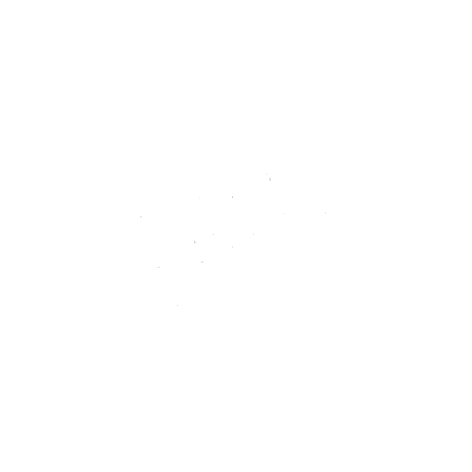 Bc1c(C)ccc(-c2ccc(C(Br)C(=O)OCC)cc2-c2ccc(F)c(C)c2)c1C